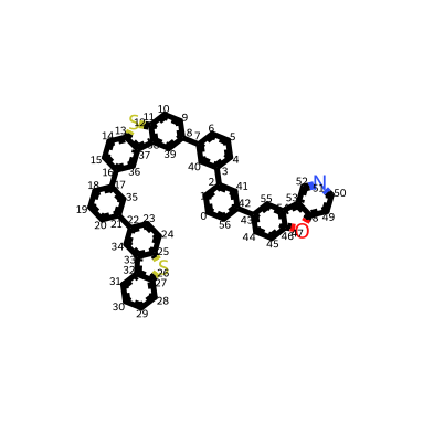 c1cc(-c2cccc(-c3ccc4sc5ccc(-c6cccc(-c7ccc8sc9ccccc9c8c7)c6)cc5c4c3)c2)cc(-c2ccc3oc4ccncc4c3c2)c1